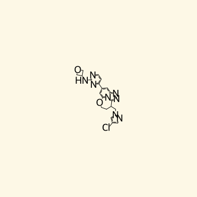 Clc1cnn(CC2CCOc3cc(-c4ccnc(NC5COC5)n4)cc4nnc2n34)c1